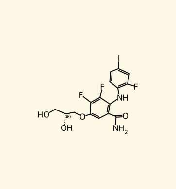 NC(=O)c1cc(OC[C@H](O)CO)c(F)c(F)c1Nc1ccc(I)cc1F